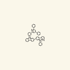 c1ccc(-c2cc(-c3ccccc3)nc(-c3cccc(-n4c5ccccc5c5ccc(-c6ccc7c8cccnc8n(-c8ccccc8)c7c6)cc54)c3)c2)cc1